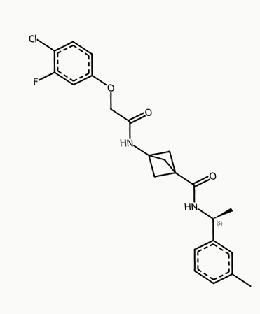 Cc1cccc([C@H](C)NC(=O)C23CC(NC(=O)COc4ccc(Cl)c(F)c4)(C2)C3)c1